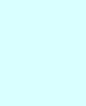 CCn1c(=O)[nH]c2sc(-c3ccccn3)c(C)c2c1=O